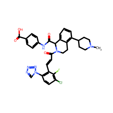 CN1CCC(c2cccc3c2CCN(C(=O)/C=C/c2c(-n4cnnn4)ccc(Cl)c2F)C3C(=O)Nc2ccc(C(=O)O)cc2)CC1